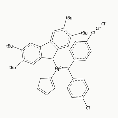 CC(C)(C)c1cc2c(cc1C(C)(C)C)[CH]([Hf+2]([C]1=CC=CC1)=[C](c1ccc(Cl)cc1)c1ccc(Cl)cc1)c1cc(C(C)(C)C)c(C(C)(C)C)cc1-2.[Cl-].[Cl-]